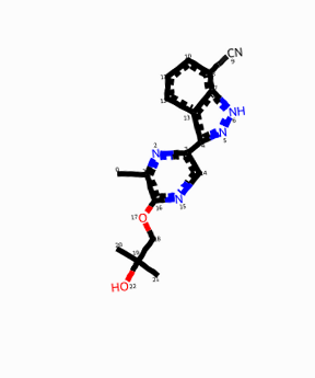 Cc1nc(-c2n[nH]c3c(C#N)cccc23)cnc1OCC(C)(C)O